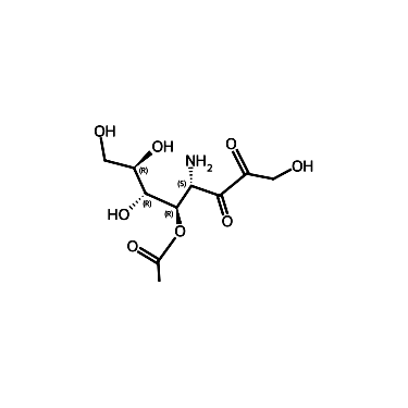 CC(=O)O[C@@H]([C@H](O)[C@H](O)CO)[C@H](N)C(=O)C(=O)CO